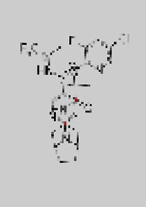 C[C@H](NC(=O)c1ccc(N2C3CCC2CC(NC(=O)C(C)(C)Oc2ncc(Cl)cc2F)C3)nc1)C(F)(F)F